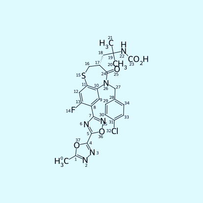 Cc1nnc(-c2nc(-c3cc4c(cc3F)SC[C@H](CC(C)(C)NC(=O)O)C(=O)N4Cc3ccc(Cl)cc3)no2)o1